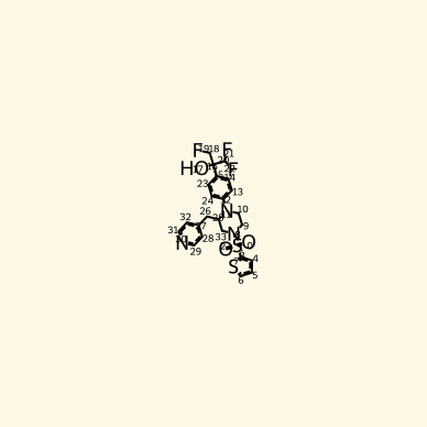 O=S(=O)(c1cccs1)N1CCN(c2ccc(C(O)(CF)C(F)F)cc2)C(Cc2ccncc2)C1